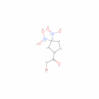 O=C(CBr)C1CCC([N+](=O)[O-])([N+](=O)[O-])C1